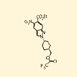 CCOC(=O)c1cc2nn([C@H]3CC[C@H](COC(=O)C(F)(F)F)CC3)cc2cc1[N+](=O)[O-]